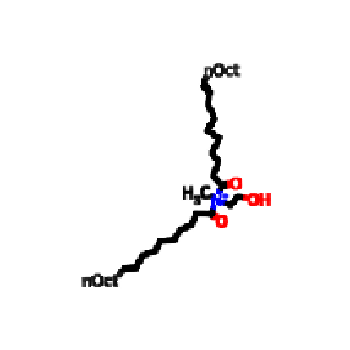 CCCCCCCCC=CCCCCCCCC(=O)[N+](C)(CCO)C(=O)CCCCCCCC=CCCCCCCCC